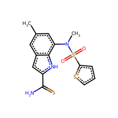 Cc1cc(N(C)S(=O)(=O)c2cccs2)c2[nH]c(C(N)=S)cc2c1